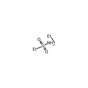 CCC.CCS(N)(=O)=O